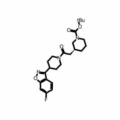 CC(C)(C)OC(=O)N1CCC[C@@H](CC(=O)N2CCC(c3noc4cc(F)ccc34)CC2)C1